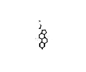 C[C@]12C=CC(=O)C=C1CC[C@]1(N)C2[C@@H](N=O)C[C@@]2(C)C1CC[C@@H]2C(=O)CN=O